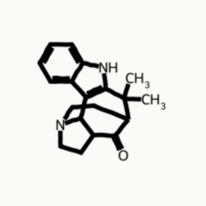 CC1(C)c2[nH]c3ccccc3c2C2C3CCN2CCC1C3=O